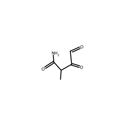 CC(C(N)=O)C(=O)C=O